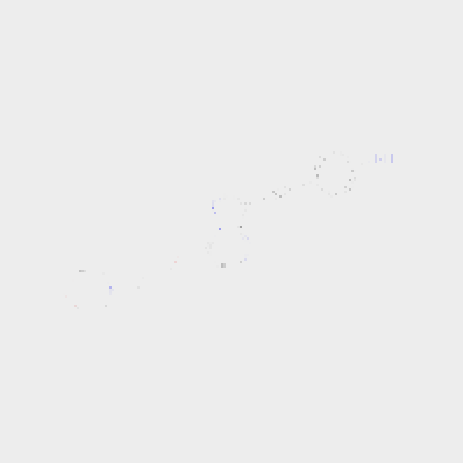 Nc1ccc(C#Cc2cnn3c(OCCCN4CCOCC4)ccnc23)cc1